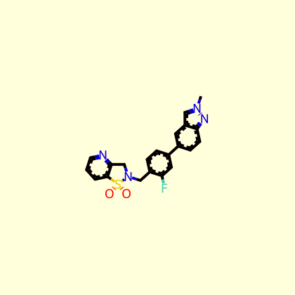 Cn1cc2cc(-c3ccc(CN4Cc5ncccc5S4(=O)=O)c(F)c3)ccc2n1